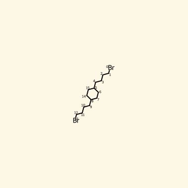 BrCCCCC1CCC(CCCCBr)CC1